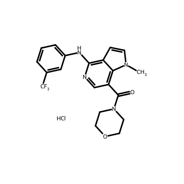 Cl.Cn1ccc2c(Nc3cccc(C(F)(F)F)c3)ncc(C(=O)N3CCOCC3)c21